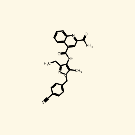 CCc1nn(Cc2ccc(C#N)cc2)c(C)c1NC(=O)c1cc(C(N)=O)nc2ccccc12